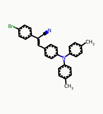 Cc1ccc(N(c2ccc(C)cc2)c2ccc(/C=C(\C#N)c3ccc(Br)cc3)cc2)cc1